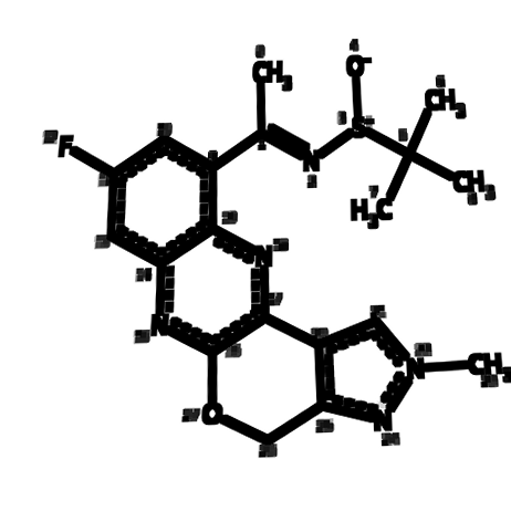 CC(=N[S+]([O-])C(C)(C)C)c1cc(F)cc2nc3c(nc12)-c1cn(C)nc1CO3